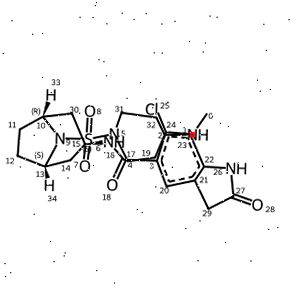 CNC1CCN(S(=O)(=O)N2[C@@H]3CC[C@H]2C[C@H](NC(=O)c2cc4c(cc2Cl)NC(=O)C4)C3)CC1